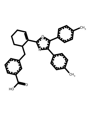 Cc1ccc(-c2nc(C3=CCCCC3Cc3cccc(C(=O)O)c3)oc2-c2ccc(C)cc2)cc1